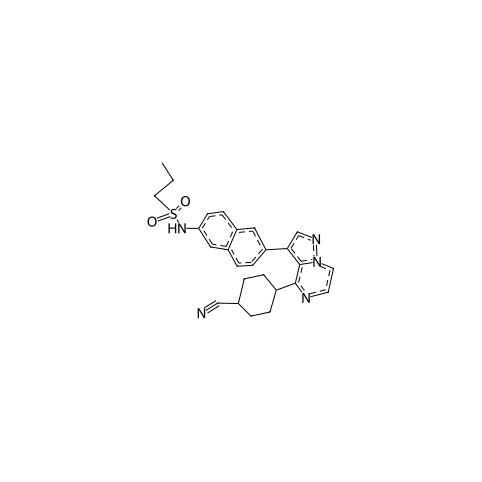 CCCS(=O)(=O)Nc1ccc2cc(-c3cnn4ccnc(C5CCC(C#N)CC5)c34)ccc2c1